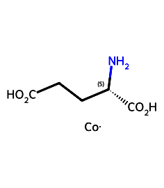 N[C@@H](CCC(=O)O)C(=O)O.[Co]